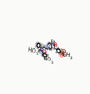 CCN(C(=O)Cc1ccc(S(C)(=O)=O)cc1)C1CCN(CCC(c2ccccc2)N(Oc2ccc([N+](=O)[O-])cc2)C(=O)O)CC1